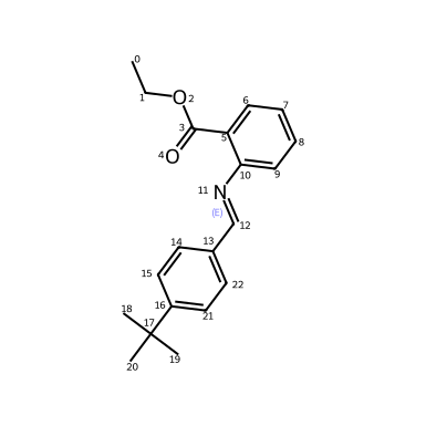 CCOC(=O)c1ccccc1/N=C/c1ccc(C(C)(C)C)cc1